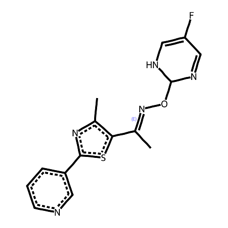 C/C(=N\OC1N=CC(F)=CN1)c1sc(-c2cccnc2)nc1C